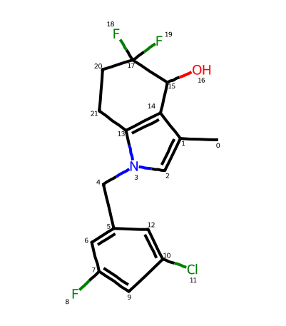 Cc1cn(Cc2cc(F)cc(Cl)c2)c2c1C(O)C(F)(F)CC2